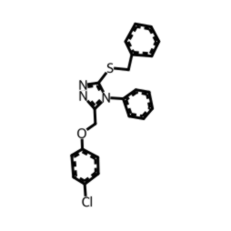 Clc1ccc(OCc2nnc(SCc3ccccc3)n2-c2ccccc2)cc1